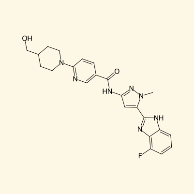 Cn1nc(NC(=O)c2ccc(N3CCC(CO)CC3)nc2)cc1-c1nc2c(F)cccc2[nH]1